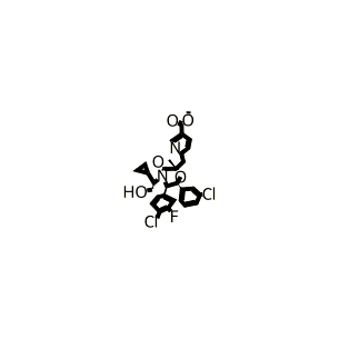 COC(=O)c1ccc(C[C@]2(C)O[C@H](c3cccc(Cl)c3)[C@@H](c3ccc(Cl)c(F)c3)N([C@H](CO)C3CC3)C2=O)nc1